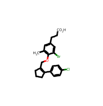 Cc1cc(CCC(=O)O)cc(Br)c1OCC1=C(c2ccc(Cl)cc2)CCC1